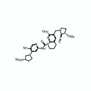 CO[C@@H]1CCN(c2cc(NC(=O)N3CCCc4cc(CN5CC[C@@H](OC)C5=C=O)c(C=O)nc43)ncc2C#N)C1